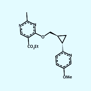 CCOC(=O)c1cnc(C)nc1OC[C@H]1C[C@@H]1c1ccc(OC)cn1